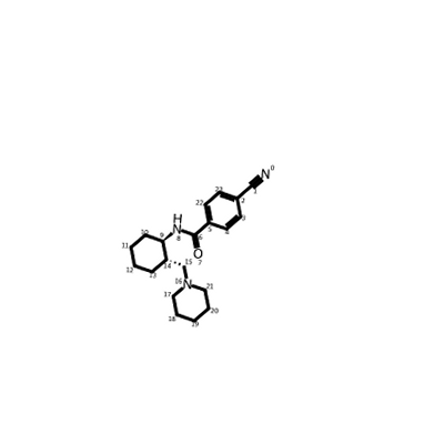 N#Cc1ccc(C(=O)N[C@@H]2CCCC[C@H]2CN2CCCCC2)cc1